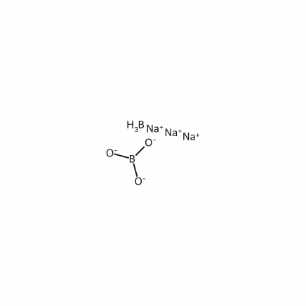 B.[Na+].[Na+].[Na+].[O-]B([O-])[O-]